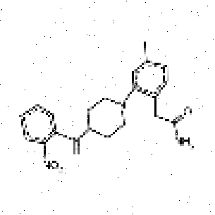 Cc1ccc(CC(N)=O)c(N2CCC(Nc3ccccc3[N+](=O)[O-])CC2)c1